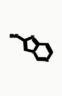 CNc1cn2cnccc2n1